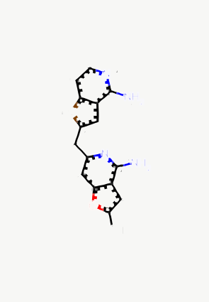 Cc1cc2c(N)nc(Cc3cc4c(N)nccc4s3)cc2o1